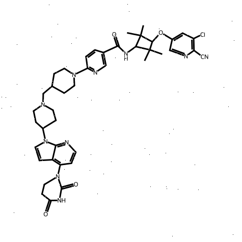 CC1(C)C(NC(=O)c2ccc(N3CCC(CN4CCC(n5ccc6c(N7CCC(=O)NC7=O)ccnc65)CC4)CC3)nc2)C(C)(C)C1Oc1cnc(C#N)c(Cl)c1